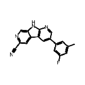 Cc1cc(F)cc(-c2cnc3[nH]c4cnc(C#N)cc4c3c2)c1